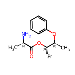 CC(C)[C@@H](OC(=O)[C@H](C)N)[C@@H](C)Oc1ccccc1